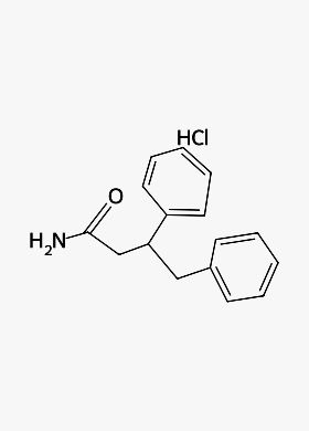 Cl.NC(=O)CC(Cc1ccccc1)c1ccccc1